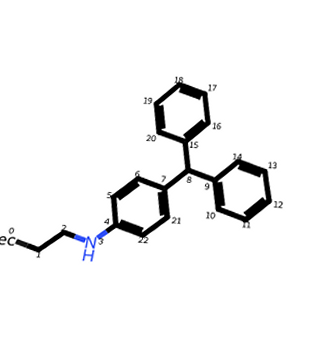 CCCCCCCCCCCCNc1ccc(C(c2ccccc2)c2ccccc2)cc1